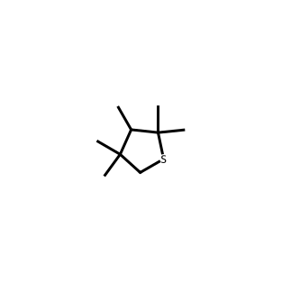 CC1C(C)(C)CSC1(C)C